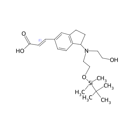 CC(C)(C)[Si](C)(C)OCCN(CCO)C1CCc2cc(/C=C/C(=O)O)ccc21